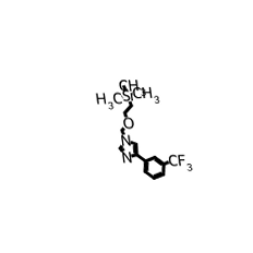 C[Si](C)(C)CCOCn1cnc(-c2cccc(C(F)(F)F)c2)c1